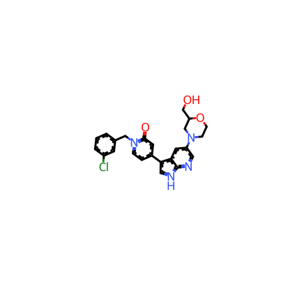 O=c1cc(-c2c[nH]c3ncc(N4CCOC(CO)C4)cc23)ccn1Cc1cccc(Cl)c1